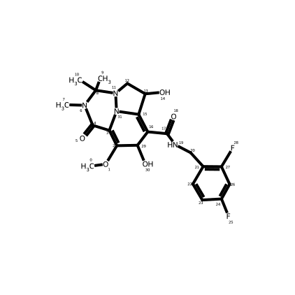 COC1=C2C(=O)N(C)C(C)(C)N3CC(O)C(=C(C(=O)NCc4ccc(F)cc4F)C1O)N23